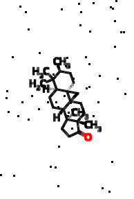 C[C@H]1CC[C@]23C[C@]24CC[C@]2(C)C(=O)CC[C@@]2(C)[C@@H]4CC[C@H]3C1(C)C